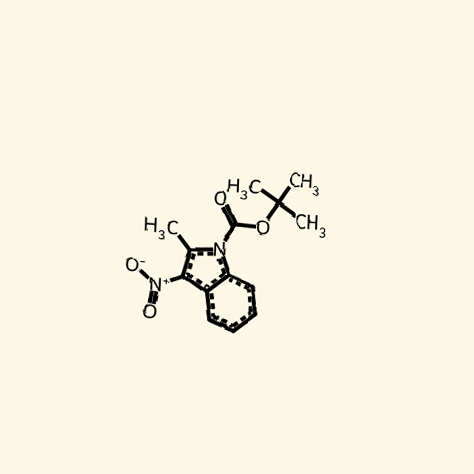 Cc1c([N+](=O)[O-])c2ccccc2n1C(=O)OC(C)(C)C